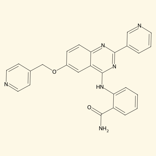 NC(=O)c1ccccc1Nc1nc(-c2cccnc2)nc2ccc(OCc3ccncc3)cc12